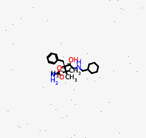 CC(C)(C)[C@](Cc1ccccc1)(OC(N)=O)[C@H](O)CNCC1CCCCC1